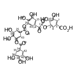 O=C(Oc1cc(C(=O)O)cc(O)c1O)C(=O)c1cc(O)c(O)c(OC(=O)c2cc(O)c(O)c(OC(=O)c3cc(O)c(O)c(O)c3)c2)c1